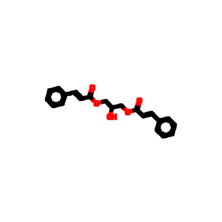 O=C(/C=C/c1ccccc1)OCC(O)COC(=O)/C=C/c1ccccc1